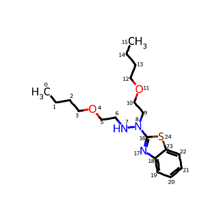 CCCCOCCNN(CCOCCCC)c1nc2ccccc2s1